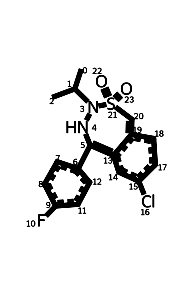 CC(C)N1NC(c2ccc(F)cc2)=c2cc(Cl)ccc2=CS1(=O)=O